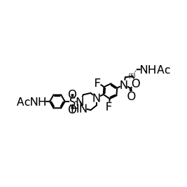 CC(=O)NC[C@H]1CN(c2cc(F)c(N3CCNN(S(=O)(=O)c4ccc(NC(C)=O)cc4)CC3)c(F)c2)C(=O)O1